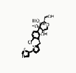 OC[C@H]1OC[C@H](O)[C@@](O)(c2ccc(Cl)c(Cc3ccc(-c4cncs4)s3)c2)[C@@H]1O